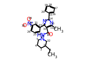 CCC1CCCN(NC(=O)c2c(C)nc(-c3ccccc3)nc2-c2cccc([N+](=O)[O-])c2)C1